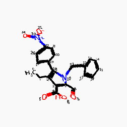 CCc1c(C(=O)O)c(C=O)n(Cc2ccccc2)c1-c1ccc([N+](=O)[O-])cc1